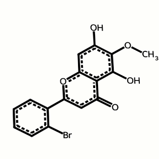 COc1c(O)cc2oc(-c3ccccc3Br)cc(=O)c2c1O